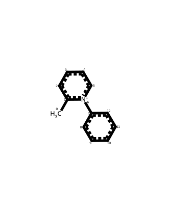 Cc1cccc[n+]1-c1ccccc1